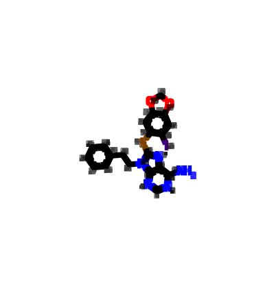 Nc1ncnc2c1nc(Sc1cc3c(cc1I)OCO3)n2CCc1ccccc1